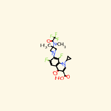 CN(C(=O)C(F)(F)F)C1(C)CN(c2c(F)cc3c(=O)c(C(=O)O)cn(C4CC4)c3c2F)C1